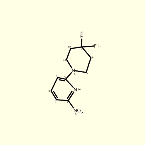 O=[N+]([O-])c1cccc(N2CCC(F)(F)CC2)n1